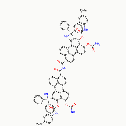 COc1ccc(NC(=O)Oc2c3c(c4c5cccc6c(C(=O)NC(=O)c7ccc8c9ccc(OC(N)=O)c%10c(OC(=O)Nc%11ccc(OC)cc%11)c%11c(c(c%12cccc7c8%12)c%109)NC%11(c7ccccc7)c7ccccc7)ccc(c7ccc(OC(N)=O)c2c74)c65)NC3(c2ccccc2)c2ccccc2)cc1